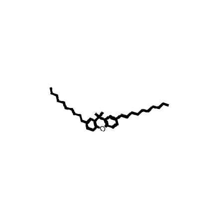 CCCCCCCCCCc1ccc2c(c1)C(C)(C)c1cc(CCCCCCCCCC)ccc1O2